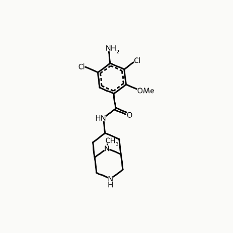 COc1c(C(=O)NC2CC3CNCC(C2)N3C)cc(Cl)c(N)c1Cl